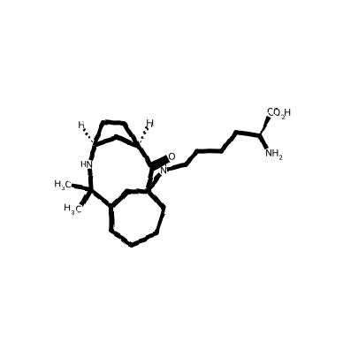 CC1(C)N[C@H]2CC[C@H](C2)C(=O)C2(NCCCC[C@H](N)C(=O)O)CCCCC1C2